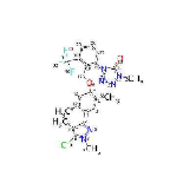 Cc1cc(-c2nn(C)c(Cl)c2C)c(C)cc1OCc1c(-n2nnn(C)c2=O)cccc1C(F)(F)F